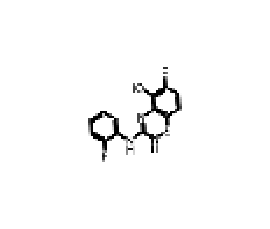 Oc1c(F)ccc2c1N=C(Nc1ccccc1F)NS2